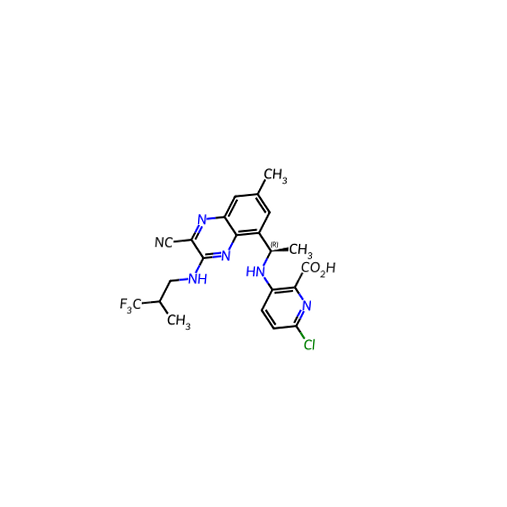 Cc1cc([C@@H](C)Nc2ccc(Cl)nc2C(=O)O)c2nc(NCC(C)C(F)(F)F)c(C#N)nc2c1